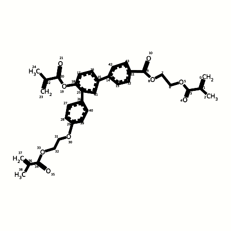 C=C(C)C(=O)OCCOC(=O)c1ccc(-c2ccc(OC(=O)C(=C)C)c(-c3ccc(OCCOC(=O)C(=C)C)cc3)c2)cc1